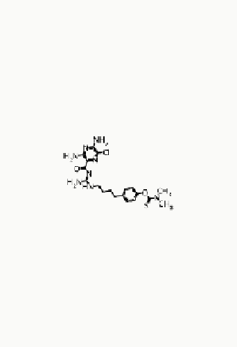 CN(C)C(=S)Oc1ccc(CCCCNC(N)=NC(=O)c2nc(Cl)c(N)nc2N)cc1